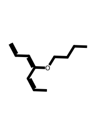 C=C/C=C(\C=C/C)OCCCC